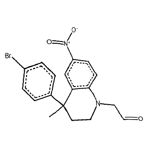 CC1(c2ccc(Br)cc2)CCN(CC=O)c2ccc([N+](=O)[O-])cc21